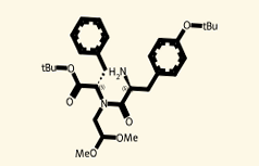 COC(CN(C(=O)[C@@H](N)Cc1ccc(OC(C)(C)C)cc1)[C@@H](Cc1ccccc1)C(=O)OC(C)(C)C)OC